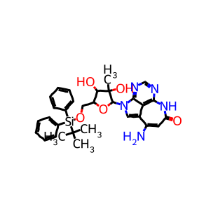 CC1(O)C(O)C(CO[Si](c2ccccc2)(c2ccccc2)C(C)(C)C)OC1n1cc2c3c(ncnc31)NC(=O)C=C2N